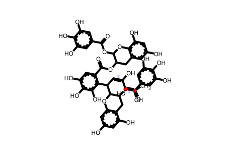 C/C(O)=C(O)\C(O)=C/C(c1c(C(=O)OC2Cc3cc(O)cc(O)c3OC2OC(=O)c2cc(O)c(O)c(O)c2)cc(O)c(O)c1O)C1Oc2cc(O)cc(O)c2CC1OC(=O)c1cc(O)c(O)c(O)c1